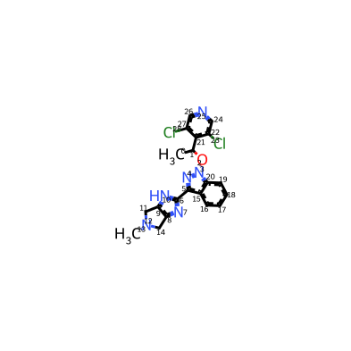 CC(On1nc(-c2nc3c([nH]2)CN(C)C3)c2ccccc21)c1c(Cl)cncc1Cl